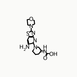 Nc1cc2sc(N3CCOCC3)nc2nc1N1CCC[C@H](NC(=O)O)C1